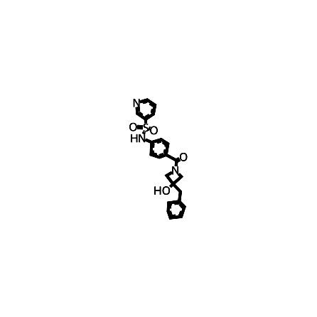 O=C(c1ccc(NS(=O)(=O)c2cccnc2)cc1)N1CC(O)(Cc2ccccc2)C1